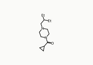 CCC(CC)CN1CCN(C(=O)C2CC2)CC1